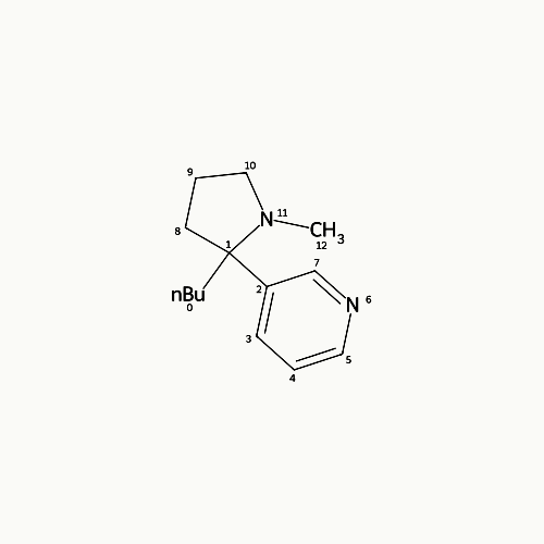 CCCCC1(c2cccnc2)CCCN1C